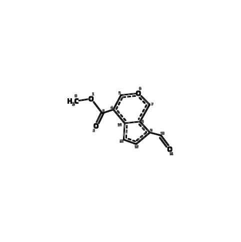 COC(=O)c1cocc2c(C=O)ccc1-2